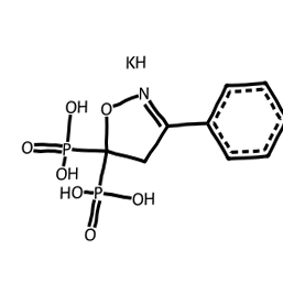 O=P(O)(O)C1(P(=O)(O)O)CC(c2ccccc2)=NO1.[KH]